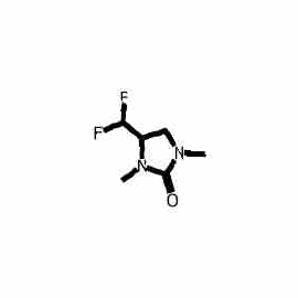 CN1CC(C(F)F)N(C)C1=O